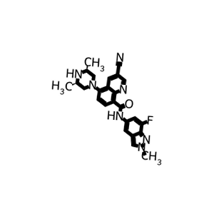 C[C@@H]1CN(c2ccc(C(=O)Nc3cc(F)c4nn(C)cc4c3)c3ncc(C#N)cc23)C[C@H](C)N1